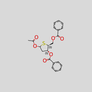 CC(=O)OC1C[C@H](OC(=O)c2ccccc2)[C@H](COC(=O)c2ccccc2)S1